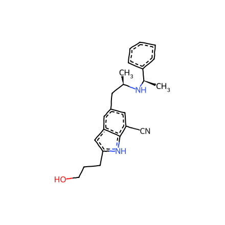 C[C@H](Cc1cc(C#N)c2[nH]c(CCCO)cc2c1)N[C@H](C)c1ccccc1